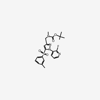 Cc1cccc(S(=O)(=O)c2cc(CN(C)C(=O)OC(C)(C)C)nn2-c2cccnc2F)c1